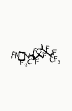 CC(OC(C)C(F)(C(F)N1CCN(F)CC1)C(F)(F)F)C(F)(F)C(F)C(F)(F)F